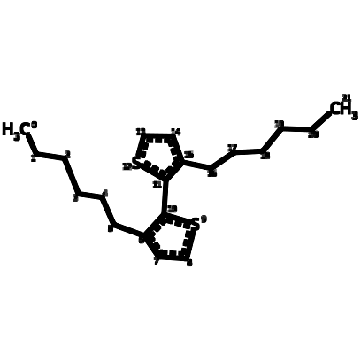 CCCCCCc1ccsc1-c1sccc1CCCCCC